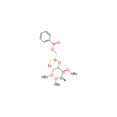 CCCCOCC(O[C@@H](COC(=O)c1ccccc1)SCC)[C@@H](OCCCC)[C@@H](C)OCCCC